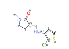 CN1CC[C@@H](CNc2ccsc2Cl)C1=O